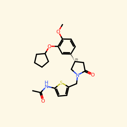 COc1ccc([C@@H]2CC(=O)N(Cc3ccc(NC(C)=O)s3)C2)cc1OC1CCCC1